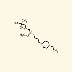 CCN1CCN(CCCC[C@@H](CCCC(C)(C)C)OC)CC1